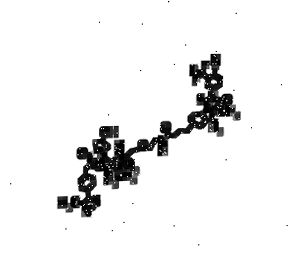 Cc1ncsc1-c1ccc(CNC(=O)[C@@H]2C[C@@H](O)CN2C(=O)[C@@H](NC(=O)CCOCCNC(=O)CCCc2ccc(N3C(=S)N(c4ccc(C#N)c(C(F)(F)F)c4)C(=O)C3(C)C)cc2)C(C)(C)C)cc1